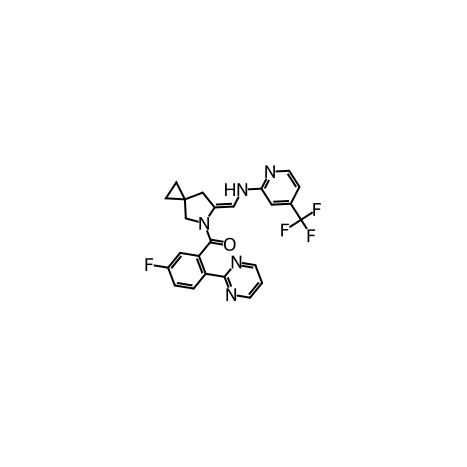 O=C(c1cc(F)ccc1-c1ncccn1)N1CC2(CC2)C/C1=C\Nc1cc(C(F)(F)F)ccn1